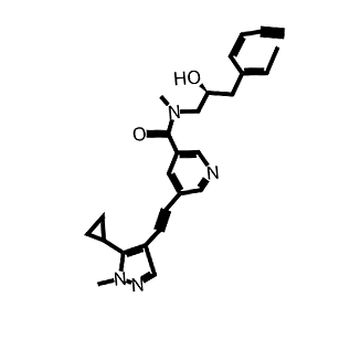 C#C/C=C\C(=C/C)C[C@H](O)CN(C)C(=O)c1cncc(C#Cc2cnn(C)c2C2CC2)c1